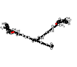 CCc1c2c(nc3ccc(O)cc13)-c1cc3c(c(=O)n1C2)COC(=O)[C@]3(CC)OC(=O)CCCC(=O)NCCCOCCOCCOCCCNC(=O)CCN(CCCOCCOCCOCCCN1C(=O)C=CC1=O)CCC(=O)NCCCOCCOCCOCCCNC(=O)CCCC(=O)O[C@@]1(CC)C(=O)OCc2c1cc1n(c2=O)Cc2c-1nc1ccc(O)cc1c2CC